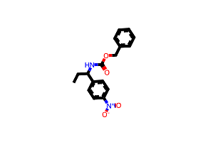 CCC(NC(=O)OCc1ccccc1)c1ccc([N+](=O)[O-])cc1